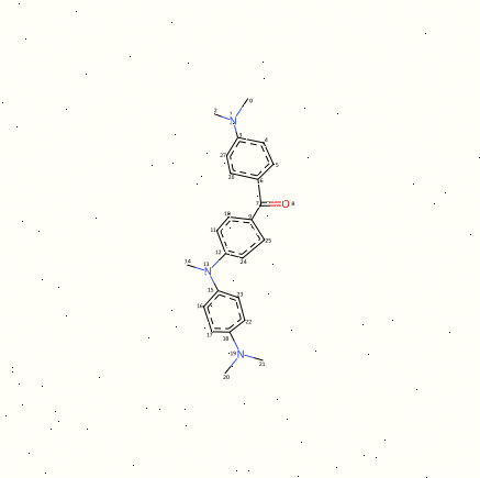 CN(C)c1ccc(C(=O)c2ccc(N(C)c3ccc(N(C)C)cc3)cc2)cc1